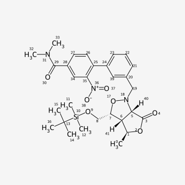 C[C@@H]1OC(=O)[C@@H]2[C@H]1[C@H](CO[Si](C)(C)C(C)(C)C)ON2Cc1cccc(-c2ccc(C(=O)N(C)C)cc2[N+](=O)[O-])c1